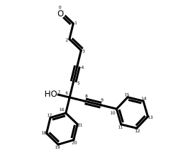 O=CC=CC#CC(O)(C#Cc1ccccc1)c1ccccc1